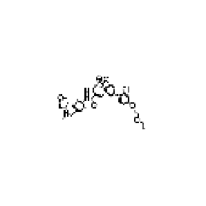 CCCOCCOc1ccc(-c2ccc3c(c2)C=C(C(=O)Nc2ccc(CN(C)C4CCOCC4)cc2)CCS3(=O)=O)c(Cl)c1